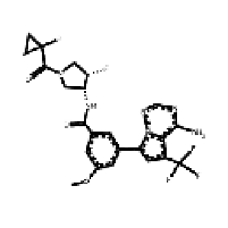 COc1cc(C(=O)N[C@@H]2CN(C(=O)C3(F)CC3)C[C@@H]2F)cc(-c2cc(C(F)(F)F)c3c(N)ncnn23)c1